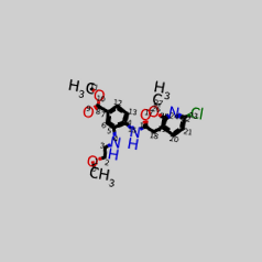 COCCNc1cc(C(=O)OC)ccc1NC(=O)Cc1ccc(Cl)nc1OC